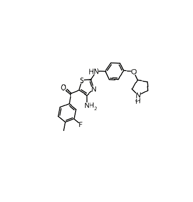 Cc1ccc(C(=O)c2sc(Nc3ccc(OC4CCNC4)cc3)nc2N)cc1F